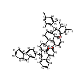 Cc1cc(C)c(B(c2c(C)cc(C)cc2C)c2ccc3c4c(cccc24)Oc2cc(N(c4ccc5c(c4)oc4ccccc45)c4ccccc4-c4ccccc4)ccc2-3)c(C)c1